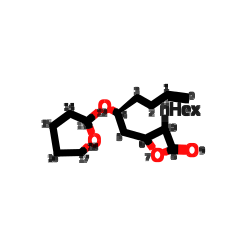 C=CCC[C@@H](CC1OC(=O)C1CCCCCC)OC1CCCCO1